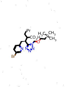 CC(C)CC(C(=O)O)[C@H](Cc1ccc(Br)cn1)c1nnnn1COCC[Si](C)(C)C